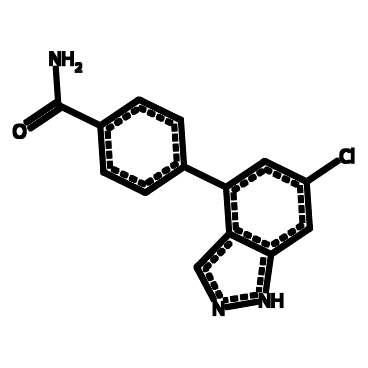 NC(=O)c1ccc(-c2cc(Cl)cc3[nH]ncc23)cc1